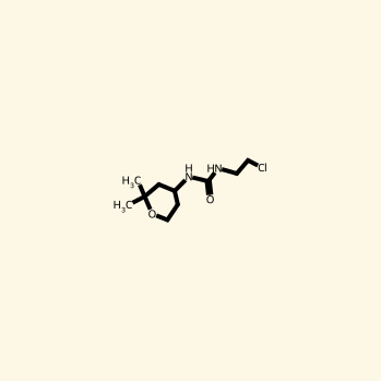 CC1(C)CC(NC(=O)NCCCl)CCO1